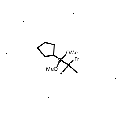 CO[Si](OC)(C1CCCC1)C(C)(C)C(C)C